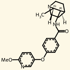 COc1ccc(Oc2ccc(C(=O)N[C@@H]3C4CCN(CC4)[C@H]3C)cc2)cn1